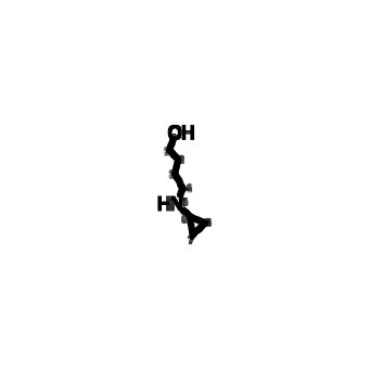 OCCCCNC1CC1